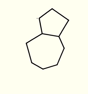 [CH]1CCC2CCCCCC12